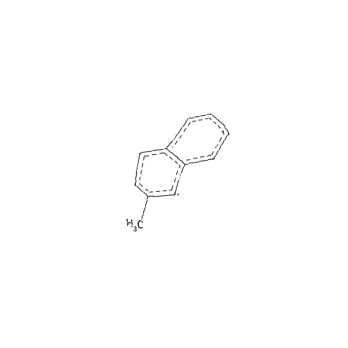 Cc1[c]c2ccccc2cc1